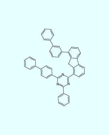 c1ccc(-c2ccc(-c3nc(-c4ccccc4)nc(-c4cccc5c4Cc4c(-c6cccc(-c7ccccc7)c6)cccc4-5)n3)cc2)cc1